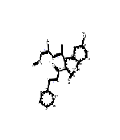 C=N/C=C(F)\C=C(/C)c1c(C(=O)/C=C/c2ccccn2)c(=O)[nH]c2ccc(Cl)cc12